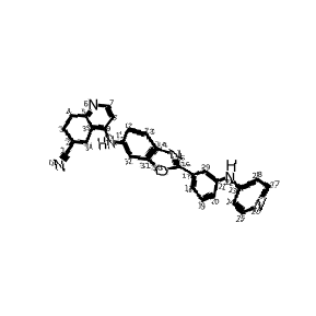 N#CC1CCc2nccc(Nc3ccc4nc(-c5cccc(Nc6ccncc6)c5)oc4c3)c2C1